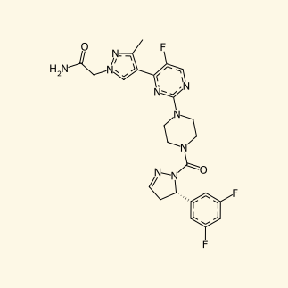 Cc1nn(CC(N)=O)cc1-c1nc(N2CCN(C(=O)N3N=CC[C@H]3c3cc(F)cc(F)c3)CC2)ncc1F